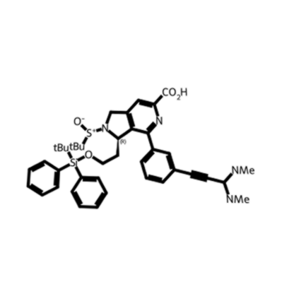 CNC(C#Cc1cccc(-c2nc(C(=O)O)cc3c2[C@@H](CCO[Si](c2ccccc2)(c2ccccc2)C(C)(C)C)N([S+]([O-])C(C)(C)C)C3)c1)NC